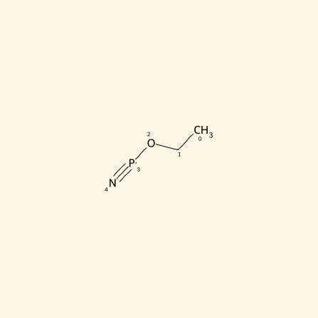 CCO[P]#N